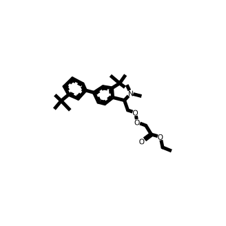 CCOC(=O)COOCC(c1ccc(-c2cccc(C(C)(C)C)c2)cc1C(C)(C)C)N(C)C